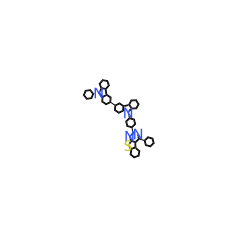 c1ccc(-c2nc(-c3ccc(-n4c5ccccc5c5cc(-c6ccc7c(c6)c6ccccc6n7-c6ccccc6)ccc54)cc3)nc3sc4ccccc4c23)cc1